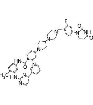 Cc1ccc(NC(=O)c2ccc(N3CCC(N4CCN(Cc5ccc(N6CCC(=O)NC6=O)cc5F)CC4)CC3)cc2)cc1Nc1nccc(-c2cccnc2)n1